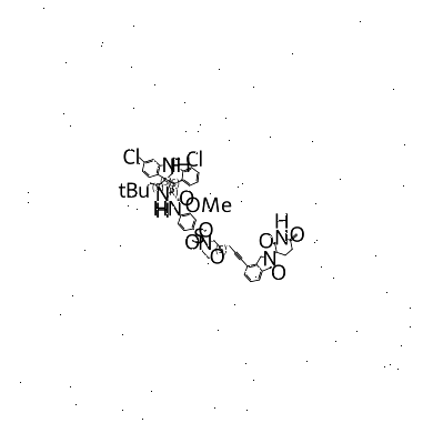 COc1cc(S(=O)(=O)N2CCO[C@@H](CC#Cc3cccc4c3CN(C3CCC(=O)NC3=O)C4=O)C2)ccc1NC(=O)[C@@H]1N[C@@H](CC(C)(C)C)[C@@]2(CNc3cc(Cl)ccc32)[C@H]1c1cccc(Cl)c1F